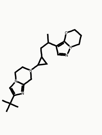 CC(CC1CC1N1CCn2cc(C(C)(C)C)nc2C1)c1cnn2c1OCCC2